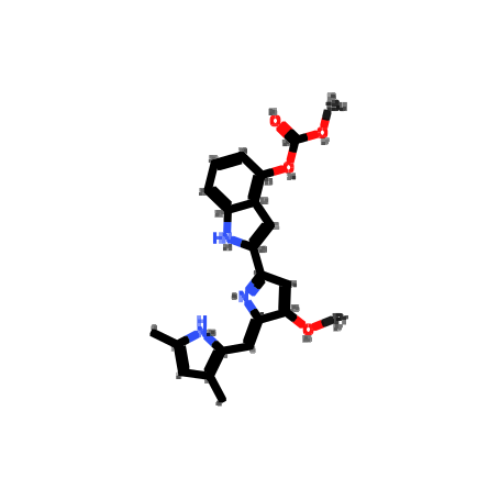 Cc1cc(C)c(/C=C2\N=C(c3cc4c(OC(=O)OC(C)(C)C)cccc4[nH]3)C=C2OC(C)C)[nH]1